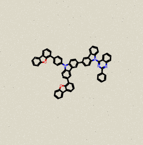 c1ccc(-c2nc(-n3c4ccccc4c4cc(-c5ccc6c(c5)c5cc(-c7cccc8c7oc7ccccc78)ccc5n6-c5ccc(-c6cccc7c6oc6ccccc67)cc5)ccc43)c3ccccc3n2)cc1